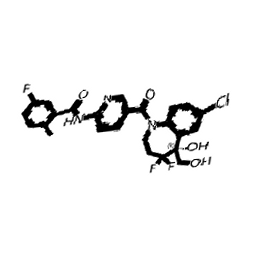 Cc1ccc(F)cc1C(=O)Nc1ccc(C(=O)N2CCC(F)(F)[C@](O)(CO)c3cc(Cl)ccc32)cn1